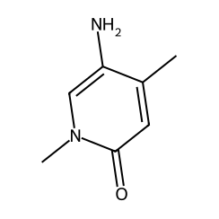 Cc1cc(=O)n(C)cc1N